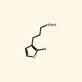 CCCCCCCCc1ccoc1[N]